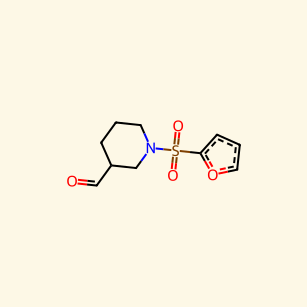 O=CC1CCCN(S(=O)(=O)c2ccco2)C1